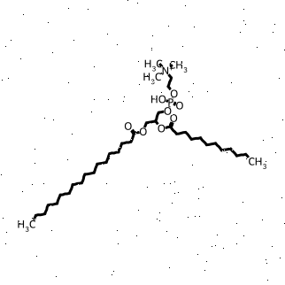 CCCCCCCCCCCCCCCCCC(=O)OCC(COP(=O)(O)OCC[N+](C)(C)C)OC(=O)CCCCCCCCCCC